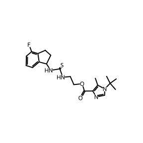 Cc1c(C(=O)OCCNC(=S)NC2CCc3c(F)cccc32)ncn1C(C)(C)C